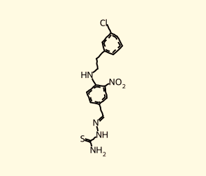 NC(=S)NN=Cc1ccc(NCCc2cccc(Cl)c2)c([N+](=O)[O-])c1